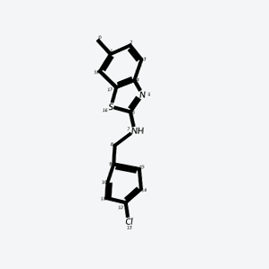 Cc1ccc2nc(NCc3ccc(Cl)cc3)sc2c1